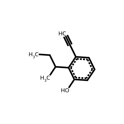 C#Cc1cccc(O)c1C(C)CC